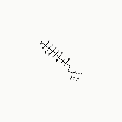 O=C(O)C(CCC(F)(F)C(F)(F)C(F)(F)C(F)(F)C(F)(F)C(F)(F)C(F)(F)C(F)(F)F)C(=O)O